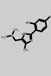 Cc1nc(-c2ccc(I)cc2C#N)[nH]c1CN(C)C